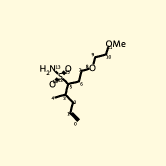 C=CCC(C)C(CCOCCOC)S(N)(=O)=O